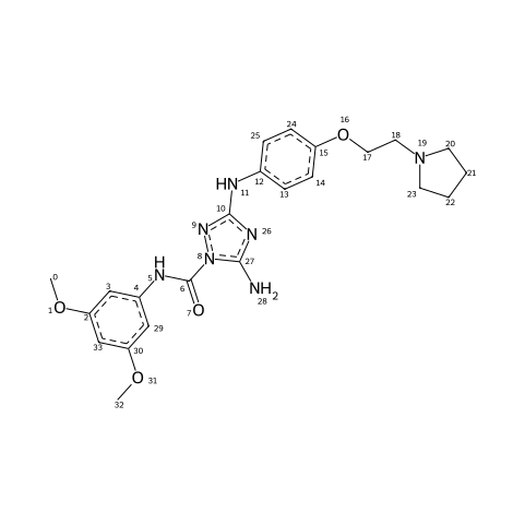 COc1cc(NC(=O)n2nc(Nc3ccc(OCCN4CCCC4)cc3)nc2N)cc(OC)c1